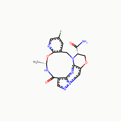 C[C@H]1NC(=O)c2cnn3cc4c(nc23)N(Cc2cc(F)cnc2O1)[C@H](C(N)=O)CO4